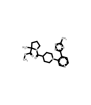 COC(=O)C1(C)CCCN1C(=O)C1CCN(c2cnccc2-c2nnc(C)s2)CC1